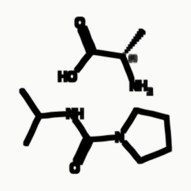 CC(C)NC(=O)N1CCCC1.C[C@H](N)C(=O)O